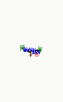 CCSc1cc(-n2ccc(C(F)(F)F)n2)cnc1-c1nc2cc(C(F)(F)F)n(C)c(=O)c2n1C